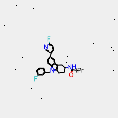 CC(C)C(=O)NC1CCc2c(c3cc(-c4ccc(F)nc4)ccc3n2Cc2cccc(F)c2)C1